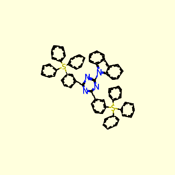 c1ccc(S(c2ccccc2)(c2ccccc2)c2cccc(-c3nc(-c4cccc(S(c5ccccc5)(c5ccccc5)c5ccccc5)c4)nc(-n4c5ccccc5c5ccccc54)n3)c2)cc1